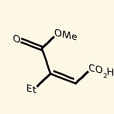 CCC(=CC(=O)O)C(=O)OC